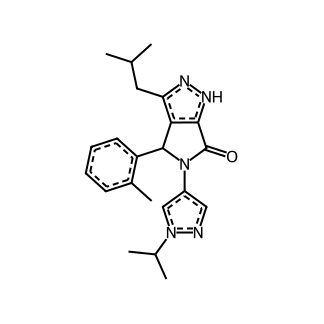 Cc1ccccc1C1c2c(CC(C)C)n[nH]c2C(=O)N1c1cnn(C(C)C)c1